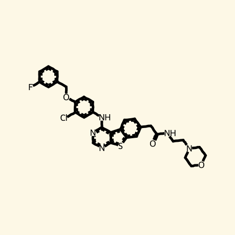 O=C(Cc1ccc2c(c1)sc1ncnc(Nc3ccc(OCc4cccc(F)c4)c(Cl)c3)c12)NCCN1CCOCC1